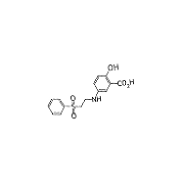 O=C(O)c1cc(NCCS(=O)(=O)c2ccccc2)ccc1O